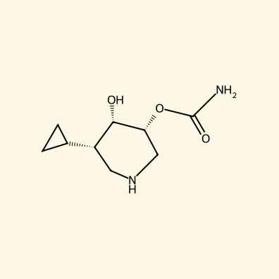 NC(=O)O[C@@H]1CNC[C@H](C2CC2)[C@@H]1O